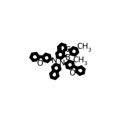 Cc1cc(C)c(B2c3cc4c(cc3N3c5cc6ccccc6cc5N(c5ccc6c(c5)oc5ccccc56)c5cc6ccccc6c2c53)oc2ccccc24)c(C)c1